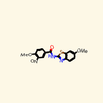 COc1ccc2nc(NC(=O)c3ccc(OC)c(N=O)c3)sc2c1